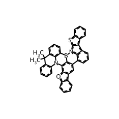 CC1(C)c2ccccc2N2c3c(cccc31)B1c3c(cc4c(oc5ccccc54)c32)-c2cccc3c4c5ccccc5sc4n1c23